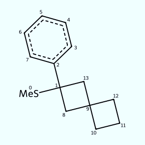 CSC1(c2ccccc2)CC2(CCC2)C1